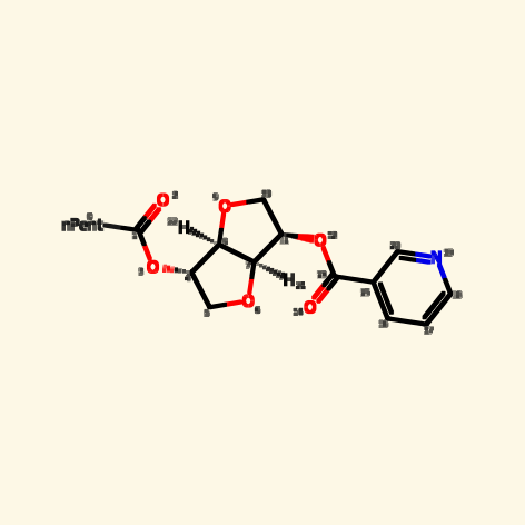 CCCCCC(=O)O[C@H]1CO[C@H]2[C@@H]1OC[C@H]2OC(=O)c1cccnc1